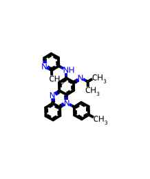 Cc1ccc(-n2c3c/c(=N\C(C)C)c(Nc4cccnc4C)cc-3nc3ccccc32)cc1